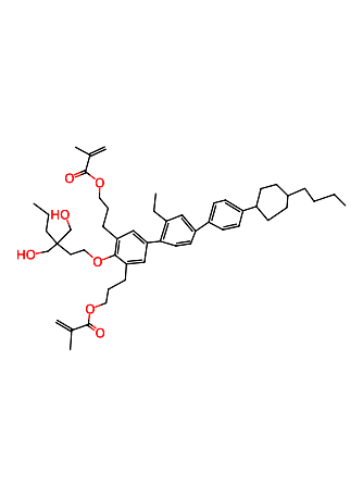 C=C(C)C(=O)OCCCc1cc(-c2ccc(-c3ccc(C4CCC(CCCC)CC4)cc3)cc2CC)cc(CCCOC(=O)C(=C)C)c1OCCC(CO)(CO)CCC